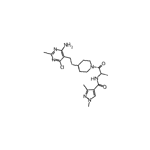 Cc1nc(N)c(CCC2CCN(C(=O)C(C)NC(=O)c3cn(C)nc3C)CC2)c(Cl)n1